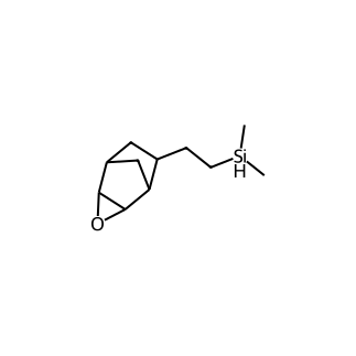 C[SiH](C)CCC1CC2CC1C1OC21